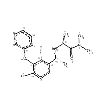 CC[C@@H](N[C@@H](C)C(=O)N(C)C)c1ccc(Cl)c(Oc2ccccc2)c1F